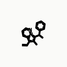 C=Cc1c(C)c(C(C)c2ccccc2)n2ncccc12